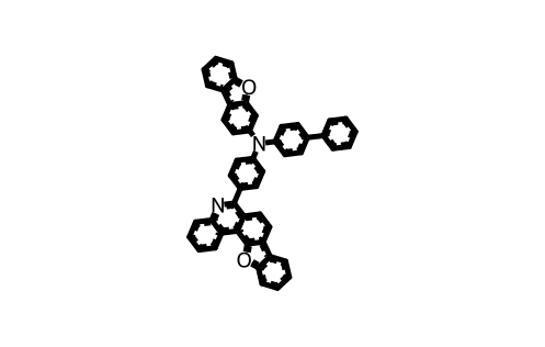 c1ccc(-c2ccc(N(c3ccc(-c4nc5ccccc5c5c4ccc4c6ccccc6oc45)cc3)c3ccc4c(c3)oc3ccccc34)cc2)cc1